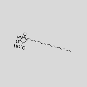 CCCCCCCCCCCCCCCCCCn1cc(C(=O)O)c(=O)[nH]c1=O